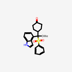 COC(c1cccc2[nH]ccc12)(C1CCC(=O)CC1)S(=O)(=O)c1ccccc1